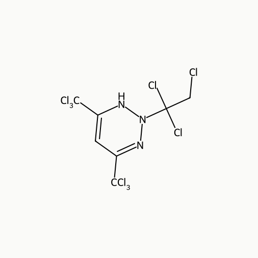 ClCC(Cl)(Cl)N1N=C(C(Cl)(Cl)Cl)C=C(C(Cl)(Cl)Cl)N1